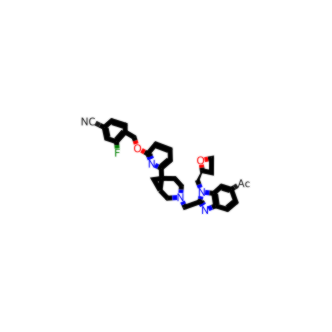 CC(=O)c1ccc2nc(CN3CCC4(c5cccc(OCc6ccc(C#N)cc6F)n5)CC4C3)n(C[C@@H]3CCO3)c2c1